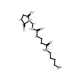 CC(C)CCCCNC(=O)CCCC(=O)OCN1C(=O)CCC1=O